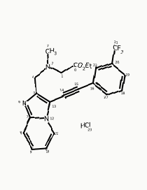 CCOC(=O)CN(C)Cc1nc2ccccn2c1C#Cc1cccc(C(F)(F)F)c1.Cl